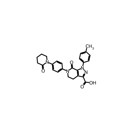 Cc1ccc(-n2nc(C(=O)O)c3c2C(=O)N(c2ccc(N4CCCCC4=O)cc2)CC3)cc1